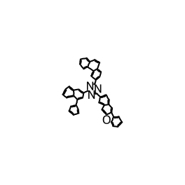 c1ccc(-c2cc(-c3nc(-c4ccc5cc6c(cc5c4)oc4ccccc46)nc(-c4ccc5ccc6ccccc6c5c4)n3)cc3ccccc23)cc1